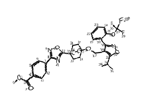 COC(=O)c1ccc(-c2noc(C34CCC(OCc5c(-c6ccccc6OC(F)(F)F)noc5C(C)C)(CC3)CC4)n2)cc1